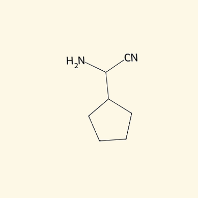 N#CC(N)C1CCCC1